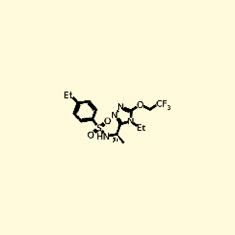 CCc1ccc(S(=O)(=O)N[C@H](C)c2nnc(OCC(F)(F)F)n2CC)cc1